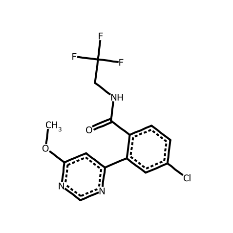 COc1cc(-c2cc(Cl)ccc2C(=O)NCC(F)(F)F)ncn1